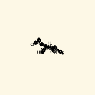 COC1CCC(OC[C@@H]2COc3cc(S(=O)(=O)NC(=O)c4ccc(N5CCN(CC6=C(c7ccc(Cl)cc7)CC(C)(C)CC6)CC5)cc4Oc4cnc5[nH]ccc5c4)cc([N+](=O)[O-])c3N2)CC1